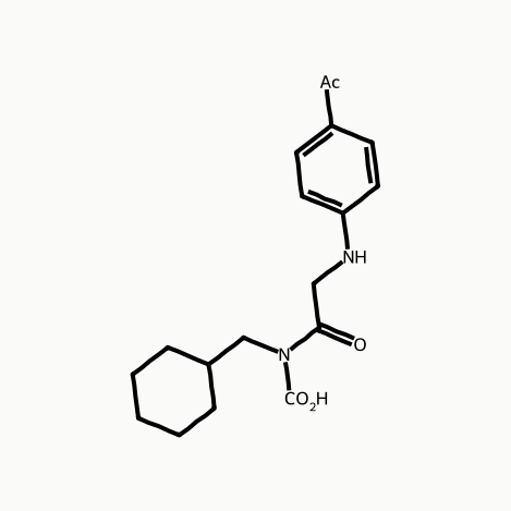 CC(=O)c1ccc(NCC(=O)N(CC2CCCCC2)C(=O)O)cc1